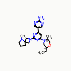 CC[C@H]1CN(c2cc(-c3cnc(N)nc3)nc(N3CC4(CCCN4C)C3)n2)[C@@H](C)CO1